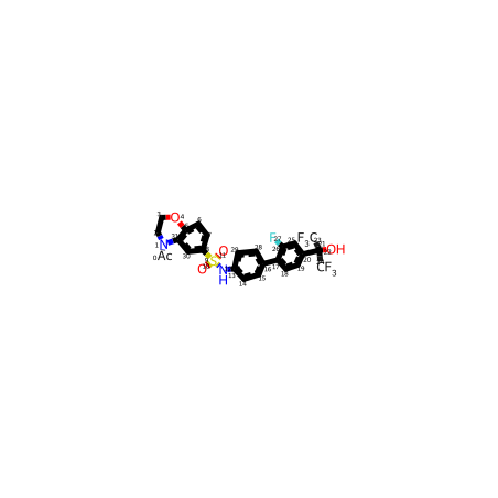 CC(=O)N1CCOc2ccc(S(=O)(=O)Nc3ccc(-c4ccc(C(O)(C(F)(F)F)C(F)(F)F)cc4F)cc3)cc21